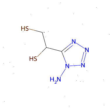 Nn1nnnc1C(S)[CH]S